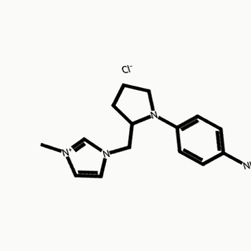 C[n+]1ccn(CC2CCCN2c2ccc(N)cc2)c1.[Cl-]